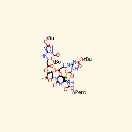 CCCCCOC(=O)Nc1nc(=O)n([C@@H]2O[C@H](C)[C@@H](OC(=O)CCN/C(=N/C(=O)OC(C)(C)C)NC(=O)OC(C)(C)C)[C@H]2OC(=O)CCN/C(=N/C(=O)OC(C)(C)C)NC(=O)OC(C)(C)C)cc1F